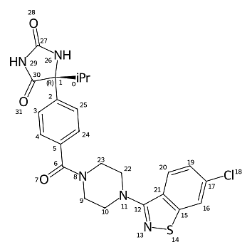 CC(C)[C@]1(c2ccc(C(=O)N3CCN(c4nsc5cc(Cl)ccc45)CC3)cc2)NC(=O)NC1=O